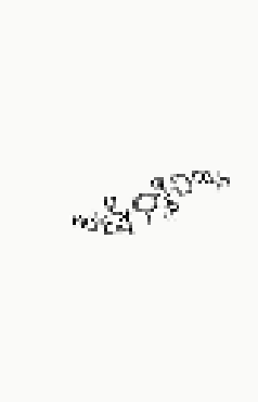 Cc1c(NC(=O)C(C)(O)C(F)(F)F)ccc(S(=O)(=O)c2ccc(C(=O)O)cc2)c1Cl